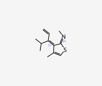 C=C/C(=C1/C(C)=CS/C1=N/C)C(C)C